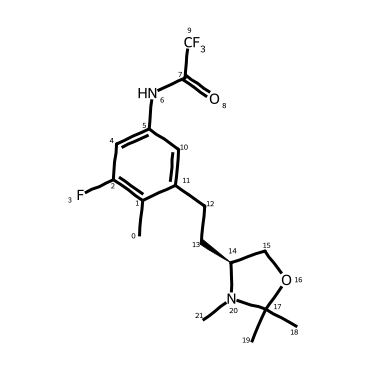 Cc1c(F)cc(NC(=O)C(F)(F)F)cc1CC[C@H]1COC(C)(C)N1C